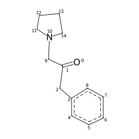 O=C(Cc1ccccc1)CN1CCCC1